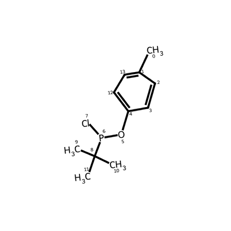 Cc1ccc(OP(Cl)C(C)(C)C)cc1